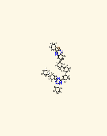 c1ccc(-c2ccc(-c3nc(-c4ccccc4)nc(-c4cccc(-c5cccc(-c6cccc(-c7ccc8nc9sc%10ccccc%10c9nc8c7)c6)c5)c4)n3)cc2)cc1